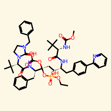 CCOP(=O)(O)O[C@](CC[C@@H](Cc1ccc(-c2ccccn2)cc1)NC(=O)[C@@H](NC(=O)OC)C(C)(C)C)(OC(=O)O)[C@H](Cc1ccccc1)NC(=O)[C@@H](N1CCN(Cc2ccccc2)C1=O)C(C)(C)C